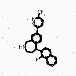 Fc1c(C2CCNCc3cc(-c4ccc(C(F)(F)F)nn4)ccc32)ccc2ccccc12